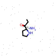 CCC(=O)[C@]1(N)CCCN1